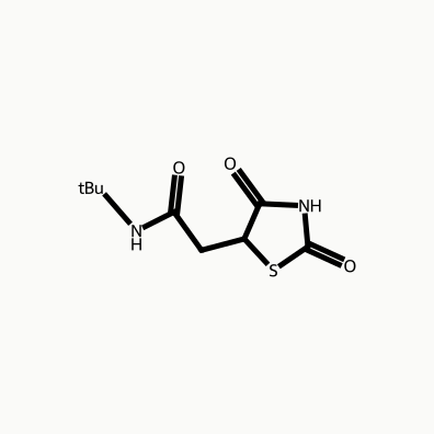 CC(C)(C)NC(=O)CC1SC(=O)NC1=O